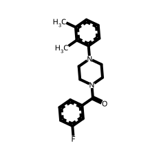 Cc1cccc(N2CCN(C(=O)c3cccc(F)c3)CC2)c1C